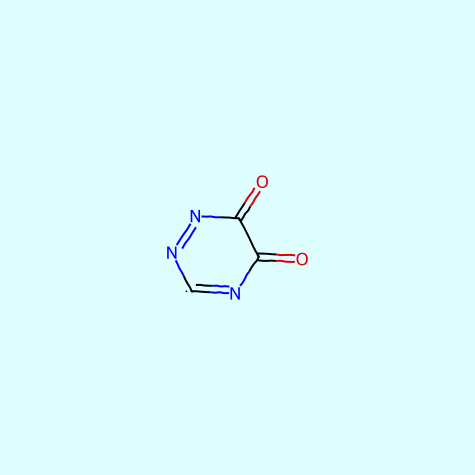 O=C1N=[C]N=NC1=O